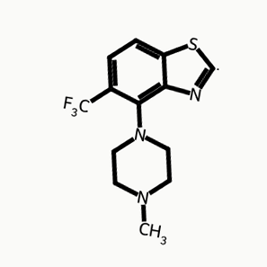 CN1CCN(c2c(C(F)(F)F)ccc3s[c]nc23)CC1